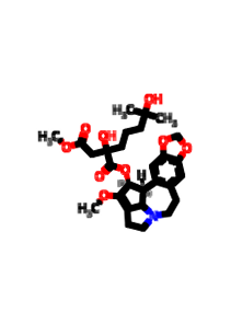 COC(=O)CC(O)(CCCC(C)(C)O)C(=O)O[C@@H]1C(OC)=C2CCN3CCc4cc5c(cc4[C@H]1C23)OCO5